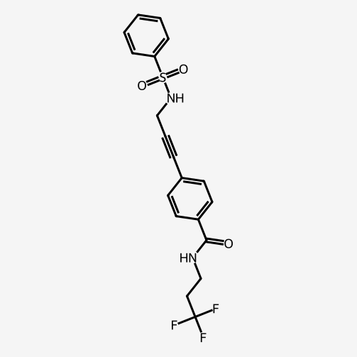 O=C(NCCC(F)(F)F)c1ccc(C#CCNS(=O)(=O)c2ccccc2)cc1